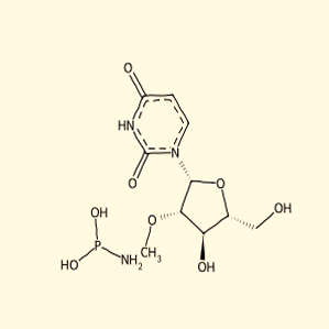 CO[C@H]1[C@H](O)[C@@H](CO)O[C@H]1n1ccc(=O)[nH]c1=O.NP(O)O